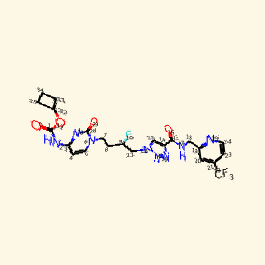 O=C(Nc1ccn(CCC(F)Cn2cc(C(=O)NCc3cc(C(F)(F)F)ccn3)nn2)c(=O)n1)OC1CCC1